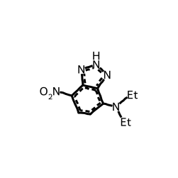 CCN(CC)c1ccc([N+](=O)[O-])c2n[nH]nc12